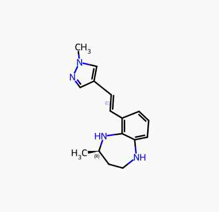 C[C@@H]1CCNc2cccc(/C=C/c3cnn(C)c3)c2N1